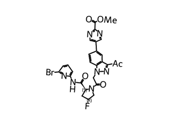 COC(=O)c1ncc(-c2ccc3c(c2)c(C(C)=O)nn3CC(=O)N2C[C@H](F)C[C@H]2C(=O)Nc2cccc(Br)n2)cn1